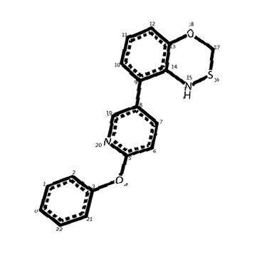 c1ccc(Oc2ccc(-c3cccc4c3NSCO4)cn2)cc1